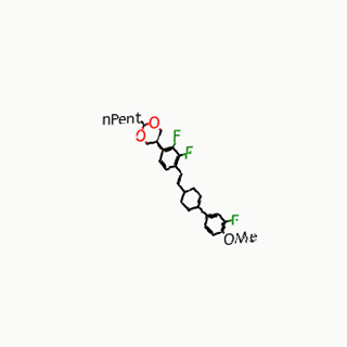 CCCCCC1OCC(c2ccc(/C=C/C3CCC(c4ccc(OC)c(F)c4)CC3)c(F)c2F)CO1